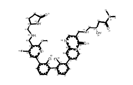 COc1nc(-c2cccc(-c3cccc(-c4ccn5c(=O)c(CNC[C@@H](O)CC(=O)N(C)C)cnc5c4)c3Cl)c2Cl)cc(F)c1CNC[C@H]1CCC(=O)N1